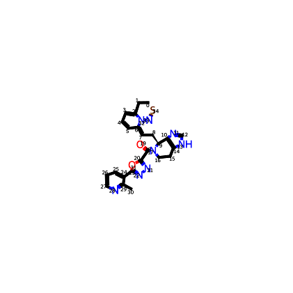 CCC1=CC=C/C(=C/C[C@H]2c3nc[nH]c3CCN2C(=O)c2nnc(-c3cccnc3C)o2)N1N=S